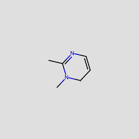 CC1=NC=C[CH]N1C